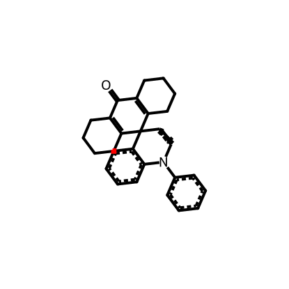 O=C1C2=C(CCCC2)C2(C3=C1CCCC3)c1ccccc1N(c1ccccc1)c1ccccc12